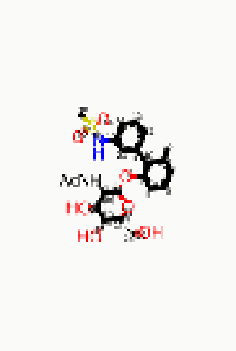 CC(=O)N[C@H]1[C@H](Oc2cccc(C)c2-c2cccc(NS(C)(=O)=O)c2)O[C@H](CO)[C@H](O)[C@@H]1O